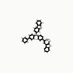 Cc1sc2ccccc2c1/C=C(\N)c1ccc(N(c2ccc(-c3ccccc3)cc2)c2ccc3c(c2)oc2ccccc23)cc1